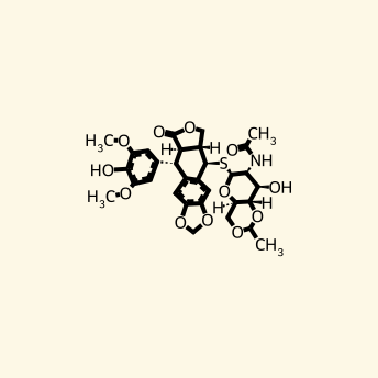 COc1cc([C@H]2c3cc4c(cc3[C@H](S[C@@H]3O[C@@H]5COC(C)O[C@H]5[C@H](O)[C@H]3NC(C)=O)[C@H]3COC(=O)[C@H]23)OCO4)cc(OC)c1O